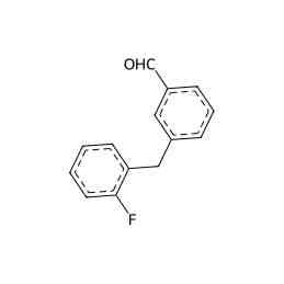 O=Cc1cccc(Cc2ccccc2F)c1